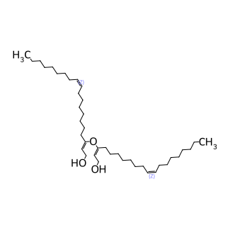 CCCCCCCC/C=C\CCCCCCCC(=CCO)OC(=CCO)CCCCCCC/C=C\CCCCCCCC